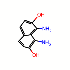 Nc1c(O)ccc2ccc(O)c(N)c12